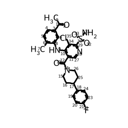 CC(=O)c1ccc(C)c(Nc2c(C(=O)N3CCC(c4ccc(F)cc4)CC3)cnc(S(N)(=O)=O)c2Cl)c1